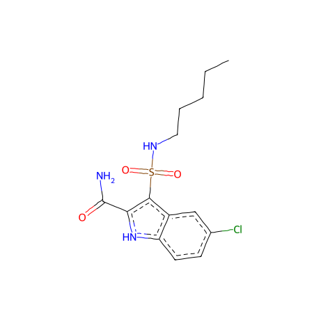 CCCCCNS(=O)(=O)c1c(C(N)=O)[nH]c2ccc(Cl)cc12